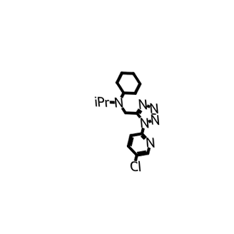 CC(C)N(Cc1nnnn1-c1ccc(Cl)cn1)C1CCCCC1